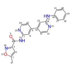 Cc1cc(C(=O)Nc2cc(-c3ccnc(Nc4ccccc4)c3)ccn2)no1